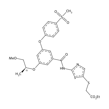 CCOC(=O)CSc1cnc(NC(=O)c2cc(Oc3ccc(S(C)(=O)=O)cc3)cc(O[C@@H](C)COC)c2)s1